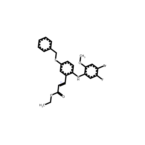 CCOC(=O)/C=C/c1cc(SCc2ccccc2)ccc1Nc1cc(F)c(Br)cc1OC